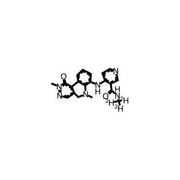 [2H]C([2H])([2H])NC(=O)c1cnccc1Nc1cccc2c1N(C)Cc1cnn(C)c(=O)c1-2